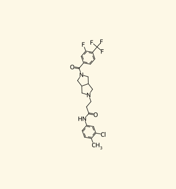 Cc1ccc(NC(=O)CCN2CC3CN(C(=O)c4ccc(C(F)(F)F)c(F)c4)CC3C2)cc1Cl